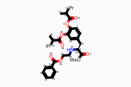 COC(=O)[C@H](Cc1ccc(OC(=O)C(C)C(C)C)c(OC(=O)C(C)C(C)C)c1)NCCOC(=O)c1ccccc1